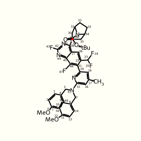 COc1ccc(CN(Cc2ccc(OC)cc2)c2cc(C)cc(-c3c(C(F)F)cc4c(N5CC6CCC(C5)N6C(=O)OC(C)(C)C)nc(F)nc4c3F)n2)cc1